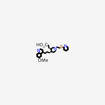 COc1ccc2nccc(CCC[C@@H]3CCN(CCSc4ccccn4)C[C@@H]3CCC(=O)O)c2c1